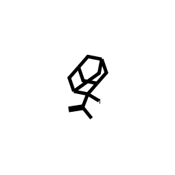 C=C(C)C1(I)C2CC3CC(C2)CC1C3